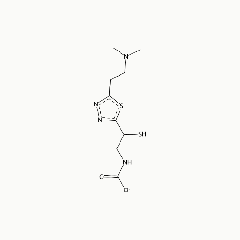 CN(C)CCc1nnc(C(S)CNC([O])=O)s1